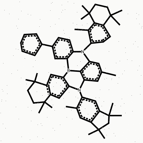 Cc1cc2c3c(c1)N(c1ccc4c(c1C)C(C)(C)CCC4(C)C)c1ccc(-c4ccccc4)cc1B3c1cc3c(cc1N2c1cc2c(cc1C)C(C)(C)CC2(C)C)C(C)(C)CCC3(C)C